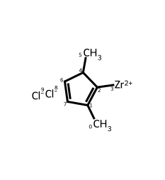 CC1=[C]([Zr+2])C(C)C=C1.[Cl-].[Cl-]